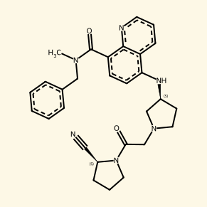 CN(Cc1ccccc1)C(=O)c1ccc(N[C@H]2CCN(CC(=O)N3CCC[C@H]3C#N)C2)c2cccnc12